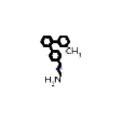 CC1C=C(c2ccccc2-c2ccc(/C=C/CN)cc2)CCC1